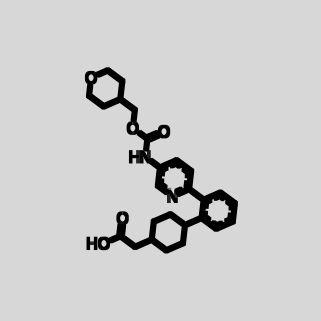 O=C(O)CC1CCC(c2ccccc2-c2ccc(NC(=O)OCC3CCOCC3)cn2)CC1